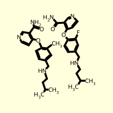 CC(C)CCNCc1ccc(Oc2ccncc2C(N)=O)c(F)c1.Cc1cc(CNCCC(C)C)ccc1Oc1ccncc1C(N)=O